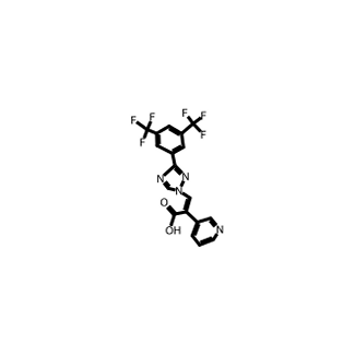 O=C(O)C(=Cn1cnc(-c2cc(C(F)(F)F)cc(C(F)(F)F)c2)n1)c1cccnc1